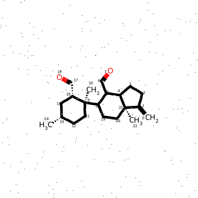 C=C1CCC2C(C=O)C([C@@]3(C)CC[C@H](C)C[C@@H]3C=O)CC[C@]12C